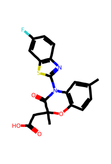 Cc1ccc2c(c1)N(c1nc3ccc(F)cc3s1)C(=O)C(C)(CC(=O)O)O2